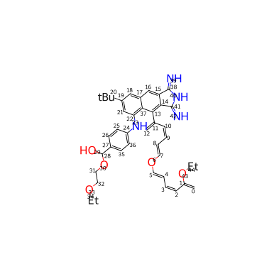 C=C(/C=C\C=C\O/C=C/C=C\C(=C)c1c2c(cc3cc(C(C)(C)C)cc(Nc4ccc(C(O)OCCOCC)cc4)c13)C(=N)NC2=N)OCC